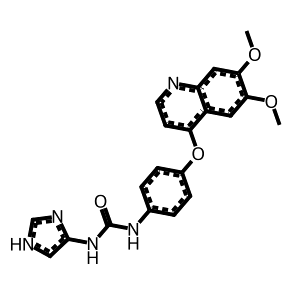 COc1cc2nccc(Oc3ccc(NC(=O)Nc4c[nH]cn4)cc3)c2cc1OC